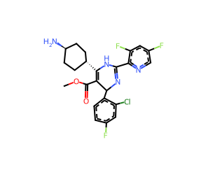 COC(=O)C1=C([C@H]2CC[C@H](N)CC2)NC(c2ncc(F)cc2F)=NC1c1ccc(F)cc1Cl